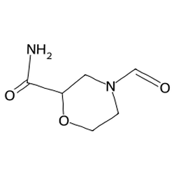 NC(=O)C1CN(C=O)CCO1